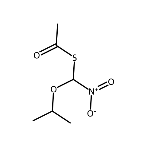 CC(=O)SC(OC(C)C)[N+](=O)[O-]